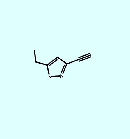 C#Cc1cc(CC)sn1